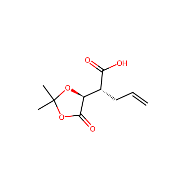 C=CC[C@@H](C(=O)O)[C@@H]1OC(C)(C)OC1=O